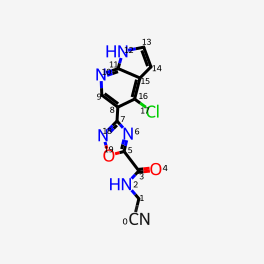 N#CCNC(=O)c1nc(-c2cnc3[nH]ccc3c2Cl)no1